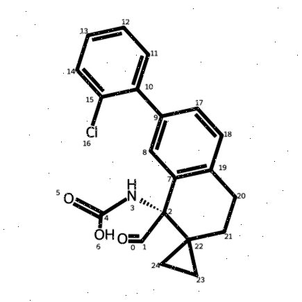 O=C[C@@]1(NC(=O)O)c2cc(-c3ccccc3Cl)ccc2CCC12CC2